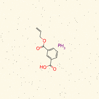 C=CCOC(=O)c1cccc(C(=O)O)c1.P